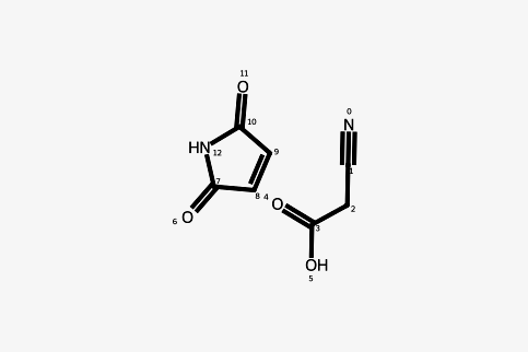 N#CCC(=O)O.O=C1C=CC(=O)N1